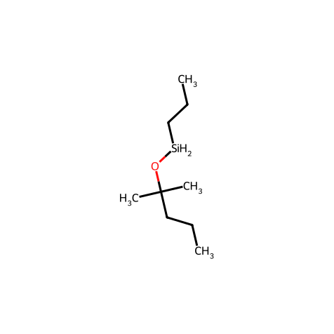 CCC[SiH2]OC(C)(C)CCC